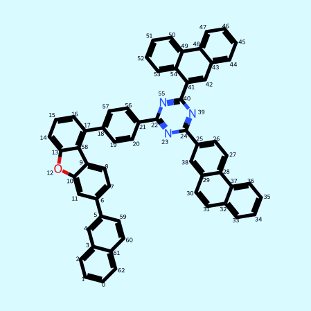 c1ccc2cc(-c3ccc4c(c3)oc3cccc(-c5ccc(-c6nc(-c7ccc8c(ccc9ccccc98)c7)nc(-c7cc8ccccc8c8ccccc78)n6)cc5)c34)ccc2c1